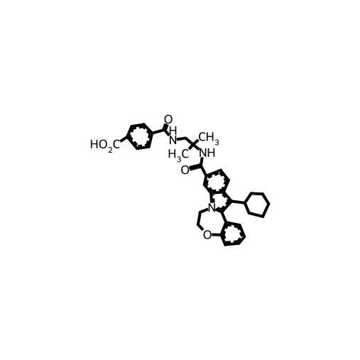 CC(C)(CNC(=O)c1ccc(C(=O)O)cc1)NC(=O)c1ccc2c(C3CCCCC3)c3n(c2c1)CCOc1ccccc1-3